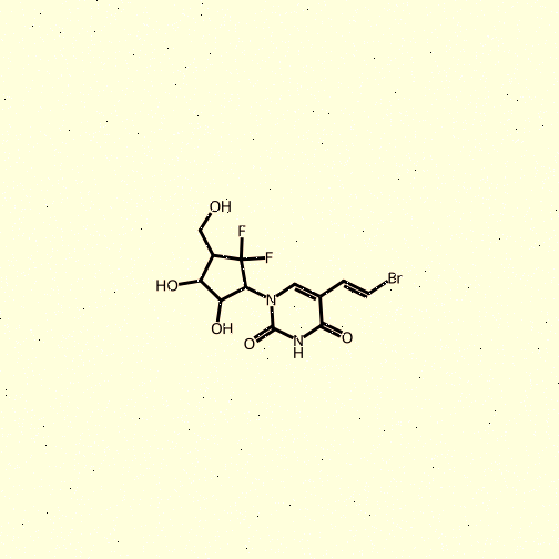 O=c1[nH]c(=O)n(C2C(O)C(O)C(CO)C2(F)F)cc1C=CBr